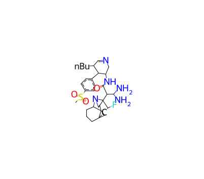 CCCCC1C=NCC(NC(=O)C(C(N)N)C2CC34CC35CCCC4N2CC(F)C5)C1c1ccc(S(C)(=O)=O)cc1